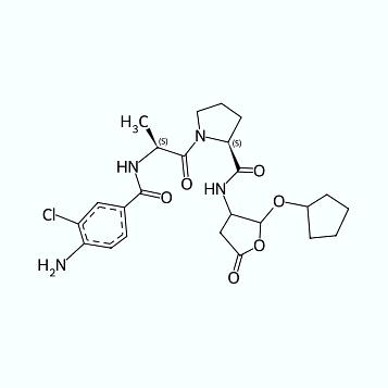 C[C@H](NC(=O)c1ccc(N)c(Cl)c1)C(=O)N1CCC[C@H]1C(=O)NC1CC(=O)OC1OC1CCCC1